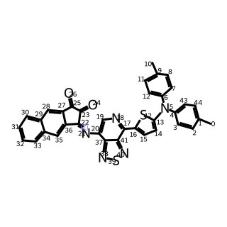 Cc1ccc(N(c2ccc(C)cc2)c2ccc(-c3ncc(/N=c4\c(=O)c(=O)c5cc6ccccc6cc45)c4nsnc34)s2)cc1